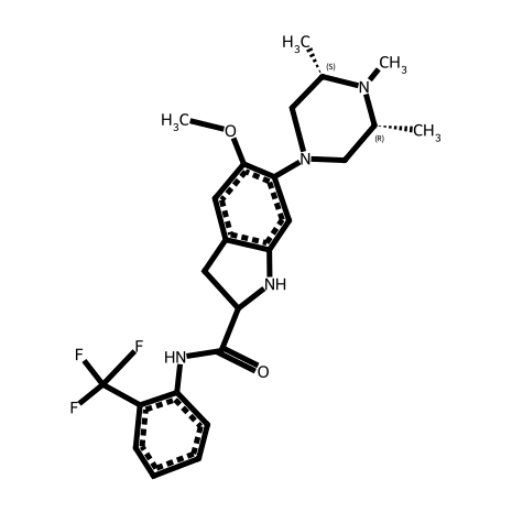 COc1cc2c(cc1N1C[C@@H](C)N(C)[C@@H](C)C1)NC(C(=O)Nc1ccccc1C(F)(F)F)C2